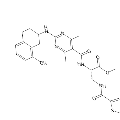 COC(=O)[C@H](CNC(=O)c1cccs1)NC(=O)c1c(C)nc(NC2CCc3cccc(O)c3C2)nc1C